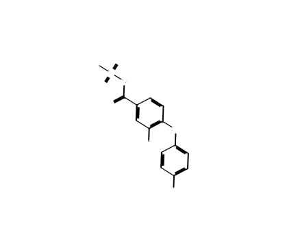 CS(=O)(=O)NC(=O)c1ccc(Oc2ccc(Cl)cc2)c(F)c1